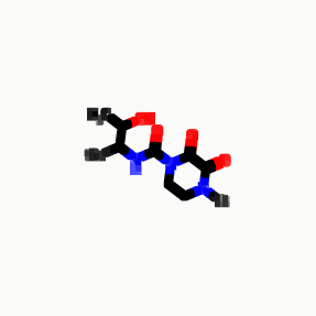 CCN1CCN(C(=O)NC(C(C)O)C(C)(C)C)C(=O)C1=O